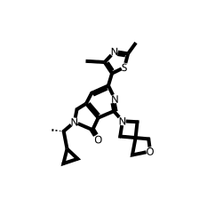 Cc1nc(C)c(-c2cc3c(c(N4CC5(COC5)C4)n2)C(=O)N([C@@H](C)C2CC2)C3)s1